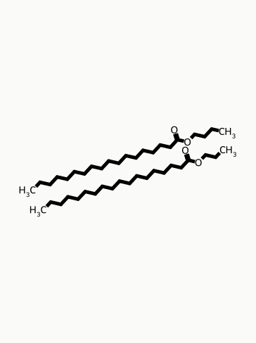 CCCCCCCCCCCCCCCCCC(=O)OCCC.CCCCCCCCCCCCCCCCCC(=O)OCCCC